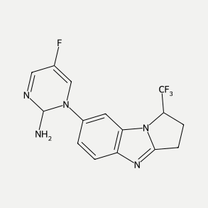 NC1N=CC(F)=CN1c1ccc2nc3n(c2c1)C(C(F)(F)F)CC3